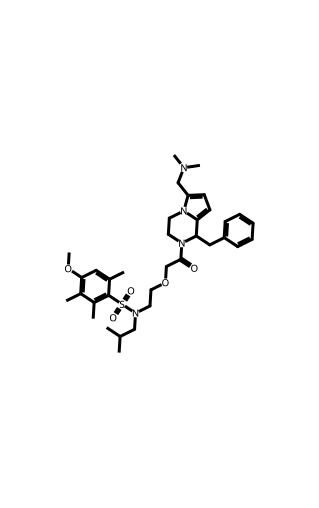 COc1cc(C)c(S(=O)(=O)N(CCOCC(=O)N2CCn3c(CN(C)C)ccc3C2Cc2ccccc2)CC(C)C)c(C)c1C